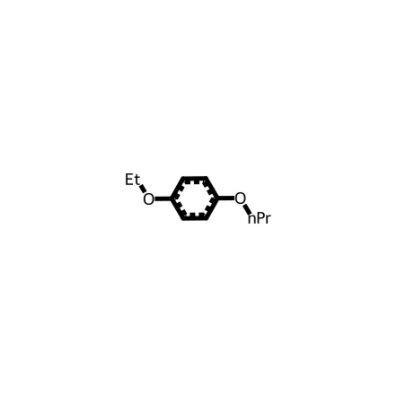 C[CH]COc1ccc(OCC)cc1